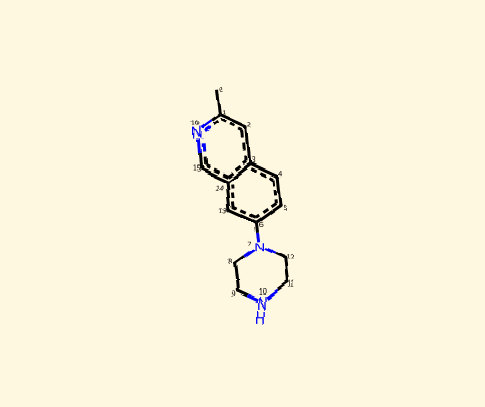 Cc1cc2ccc(N3CCNCC3)cc2cn1